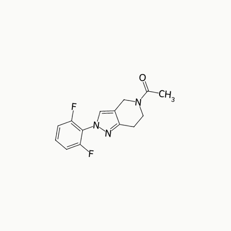 CC(=O)N1CCc2nn(-c3c(F)cccc3F)cc2C1